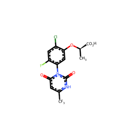 C[C@@H](Oc1cc(-n2c(=O)cc(C(F)(F)F)[nH]c2=O)c(F)cc1Cl)C(=O)O